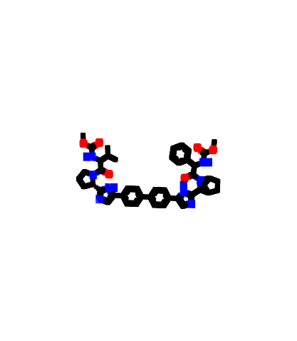 COC(=O)NC(C(=O)N1C2CCC(C2)C1c1ncc(-c2ccc(-c3ccc(-c4cnc([C@@H]5CCCN5C(=O)[C@@H](NC(=O)OC)C(C)C)[nH]4)cc3)cc2)[nH]1)c1ccccc1